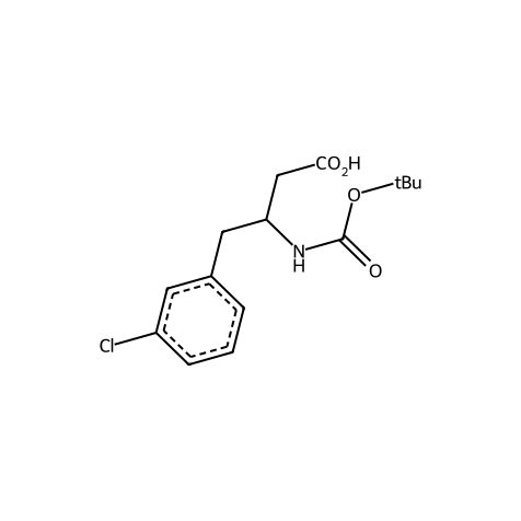 CC(C)(C)OC(=O)NC(CC(=O)O)Cc1cccc(Cl)c1